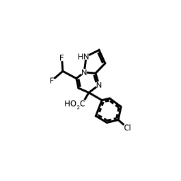 O=C(O)C1(c2ccc(Cl)cc2)C=C(C(F)F)N2NC=CC2=N1